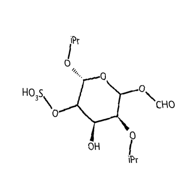 CC(C)O[C@@H]1OC(OC=O)[C@@H](OC(C)C)[C@@H](O)C1OS(=O)(=O)O